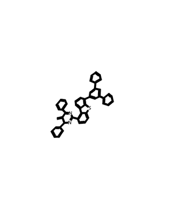 C=C1C(c2ccccc2)=NC(c2cccc3sc4c(-c5cc(-c6ccccc6)cc(-c6ccccc6)c5)cccc4c23)=NC1c1ccccc1